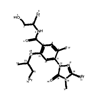 CCC(CO)NC(=O)c1cc(F)c(-n2nc(C(C)C)n(C)c2=O)cc1OC(C)CC(C)C